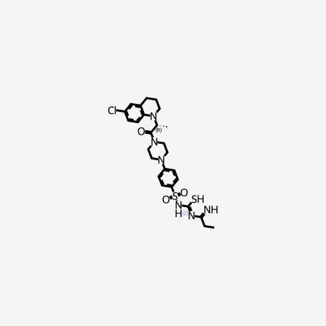 CCC(=N)/N=C(\S)NS(=O)(=O)c1ccc(N2CCN(C(=O)[C@@H](C)N3CCCc4cc(Cl)ccc43)CC2)cc1